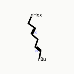 [CH2]CCCCCC/C=C/C/C=C/CCCC